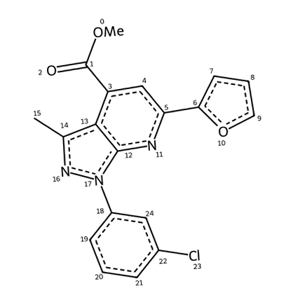 COC(=O)c1cc(-c2ccco2)nc2c1c(C)nn2-c1cccc(Cl)c1